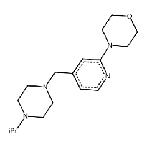 CC(C)N1CCN(Cc2ccnc(N3CCOCC3)c2)CC1